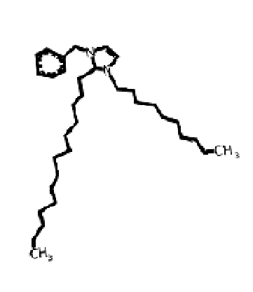 CCCCCCCCCCCCCCC1N(CCCCCCCCCC)C=CN1Cc1ccccc1